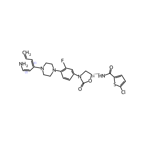 C=C/C=C(\C=C/N)N1CCN(c2ccc(N3C[C@H](CNC(=O)c4ccc(Cl)s4)OC3=O)cc2F)CC1